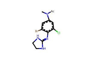 CC(=O)N(C)c1cc(Cl)c(N=C2NCCN2)c(Br)c1